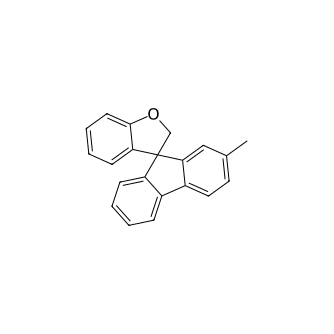 Cc1ccc2c(c1)C1(COc3ccccc31)c1ccccc1-2